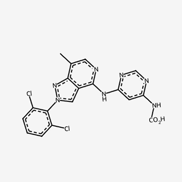 Cc1cnc(Nc2cc(NC(=O)O)ncn2)c2cn(-c3c(Cl)cccc3Cl)nc12